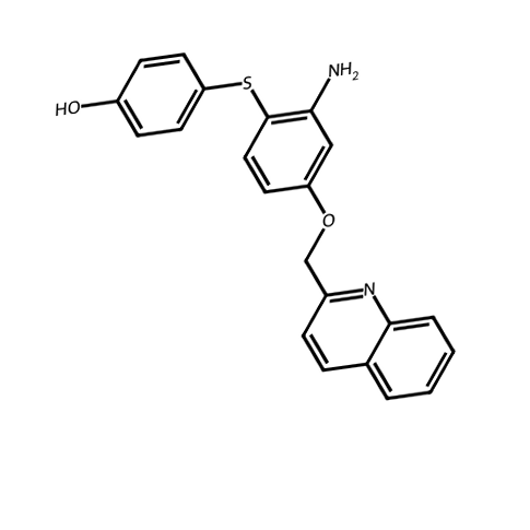 Nc1cc(OCc2ccc3ccccc3n2)ccc1Sc1ccc(O)cc1